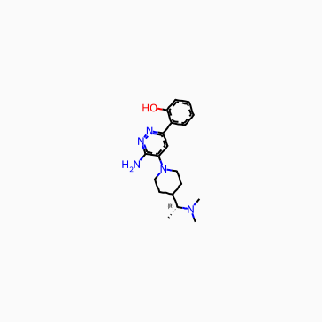 C[C@H](C1CCN(c2cc(-c3ccccc3O)nnc2N)CC1)N(C)C